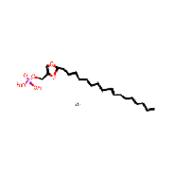 CCCCCCCC=CCCCCCCCCC1OCC(COP(=O)(O)O)O1.[K]